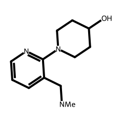 CNCc1cccnc1N1CCC(O)CC1